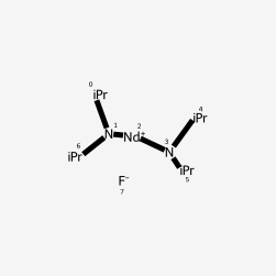 CC(C)[N]([Nd+][N](C(C)C)C(C)C)C(C)C.[F-]